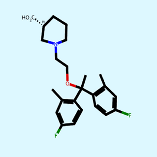 Cc1cc(F)ccc1C(C)(OCCN1CCC[C@@H](C(=O)O)C1)c1ccc(F)cc1C